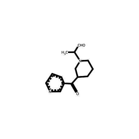 CC(C=O)N1CCCC(C(=O)c2cccnc2)C1